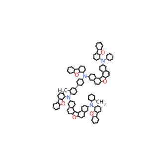 Cc1ccccc1N(c1ccc2c(ccc3oc4ccc5cc(N(c6ccc(-c7ccc(N(c8ccc9c(ccc%10oc%11ccc%12cc(N(c%13ccccc%13)c%13cccc%14c%13oc%13ccccc%13%14)ccc%12c%11c%109)c8)c8cccc9c8oc8ccccc89)cc7)cc6C)c6cccc7c6oc6ccccc67)ccc5c4c32)c1)c1cccc2c1oc1ccccc12